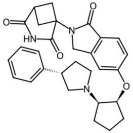 O=C1NC(=O)C2(N3Cc4cc(O[C@H]5CCC[C@H]5N5CC[C@@H](c6ccccc6)C5)ccc4C3=O)CC1C2